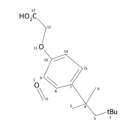 C=O.CC(C)(C)CC(C)(C)c1ccc(OCC(=O)O)cc1